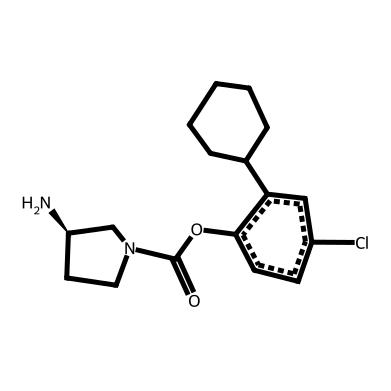 N[C@@H]1CCN(C(=O)Oc2ccc(Cl)cc2C2CCCCC2)C1